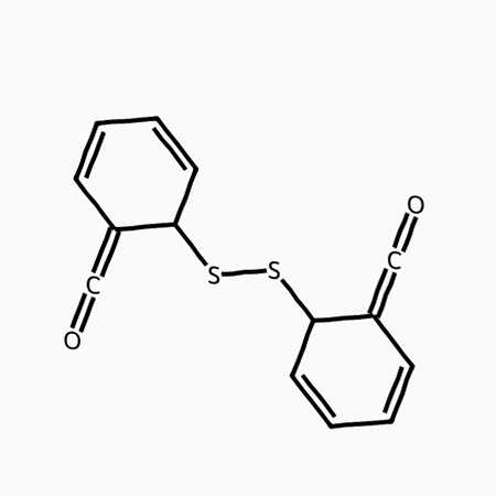 O=C=C1C=CC=CC1SSC1C=CC=CC1=C=O